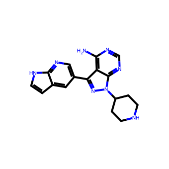 Nc1ncnc2c1c(-c1cnc3[nH]ccc3c1)nn2C1CCNCC1